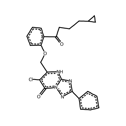 O=C(CCCC1CC1)c1ccccc1OCc1[nH]c2nc(-c3ccccc3)nn2c(=O)c1Cl